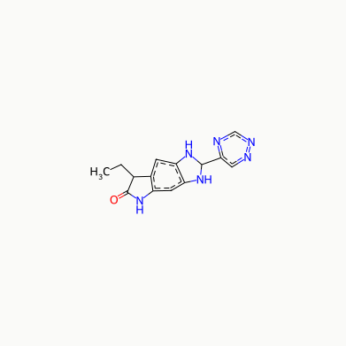 CCC1C(=O)Nc2cc3c(cc21)NC(c1cnncn1)N3